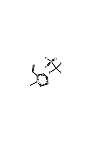 C=Cc1cccc[n+]1C.O=S(=O)([O-])C(F)(F)F